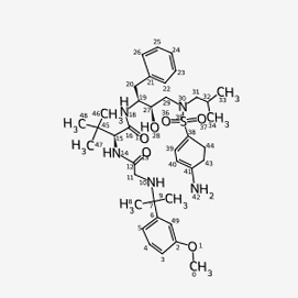 COc1cccc(C(C)(C)NCC(=O)N[C@H](C(=O)N[C@@H](Cc2ccccc2)[C@H](O)CN(CC(C)C)S(=O)(=O)C2=CC=C(N)CC2)C(C)(C)C)c1